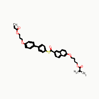 C=CC(=O)OCCCOc1ccc(-c2ccc(SC(=O)c3ccc4cc(OCCCCOC(=O)C(=C)C)ccc4c3)cc2)cc1